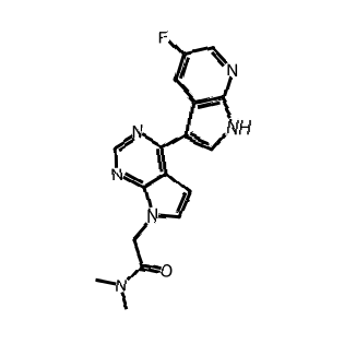 CN(C)C(=O)Cn1ccc2c(-c3c[nH]c4ncc(F)cc34)ncnc21